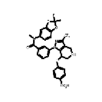 CN(C(=O)c1cccc(-n2nc(C(F)(F)F)c3c2C(Oc2ccc(C(=O)O)cc2)CNC3)c1)c1ccc2c(c1)OC(F)(F)O2